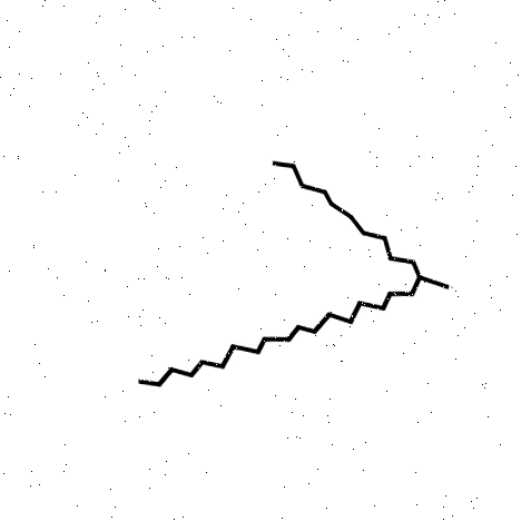 [CH2]C(CCCCCCCCCC)CCCCCCCCCCCCCCCCCC